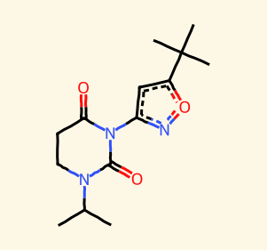 CC(C)N1CCC(=O)N(c2cc(C(C)(C)C)on2)C1=O